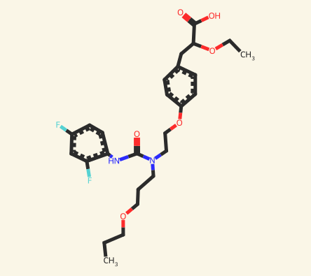 CCCOCCCN(CCOc1ccc(CC(OCC)C(=O)O)cc1)C(=O)Nc1ccc(F)cc1F